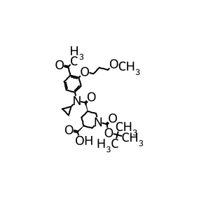 COCCCOc1cc(N(C(=O)[C@@H]2C[C@H](C(=O)O)CN(C(=O)OC(C)(C)C)C2)C2CC2)ccc1C(C)=O